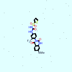 CNc1ccc2c(=O)n(-c3ccc(NC(=O)NS(=O)(=O)c4cccs4)cc3C(F)(F)F)c(=O)[nH]c2c1